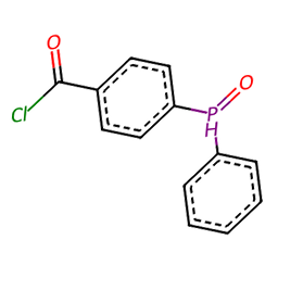 O=C(Cl)c1ccc([PH](=O)c2ccccc2)cc1